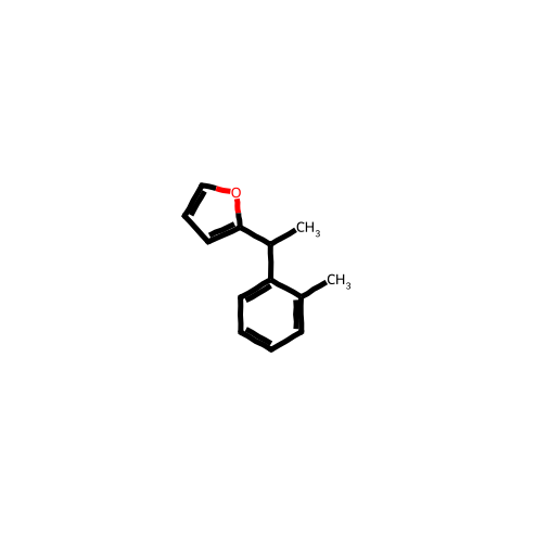 C[C](c1ccco1)c1ccccc1C